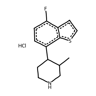 CC1CNCCC1c1ccc(F)c2ccsc12.Cl